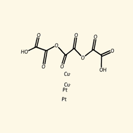 O=C(O)C(=O)OC(=O)C(=O)OC(=O)C(=O)O.[Cu].[Cu].[Pt].[Pt]